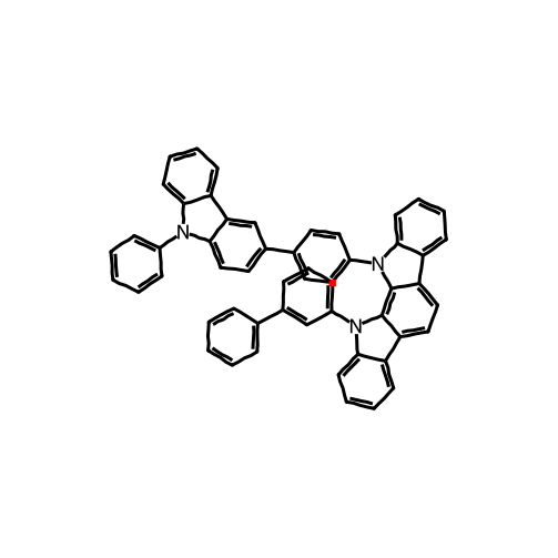 c1ccc(-c2cccc(-n3c4ccccc4c4ccc5c6ccccc6n(-c6ccc(-c7ccc8c(c7)c7ccccc7n8-c7ccccc7)cc6)c5c43)c2)cc1